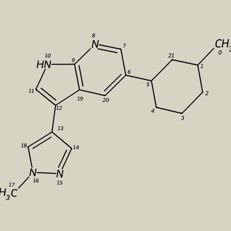 CC1CCCC(c2cnc3[nH]cc(-c4cnn(C)c4)c3c2)C1